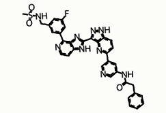 CS(=O)(=O)NCc1cc(F)cc(-c2nccc3[nH]c(-c4n[nH]c5ccc(-c6cncc(NC(=O)Cc7ccccc7)c6)nc45)nc23)c1